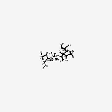 CCC(C)C(C)C(C)(C(C)OP(=O)(O)O[C@@H]1C[C@H](C)O[C@@H]1CC)C(C)C(C)C